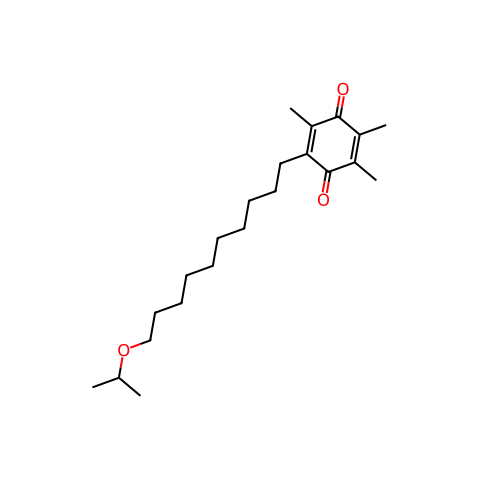 CC1=C(C)C(=O)C(CCCCCCCCCCOC(C)C)=C(C)C1=O